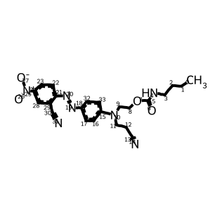 CCCCNC(=O)OCCN(CCC#N)c1ccc(/N=N/c2ccc([N+](=O)[O-])cc2C#N)cc1